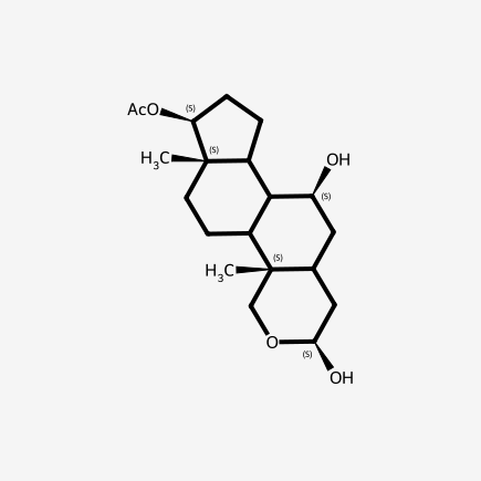 CC(=O)O[C@H]1CCC2C3C(CC[C@@]21C)[C@@]1(C)CO[C@H](O)CC1C[C@@H]3O